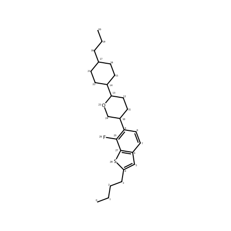 CCCCc1cc2ccc(C3CCC(C4CCC(CCC)CC4)OC3)c(F)c2s1